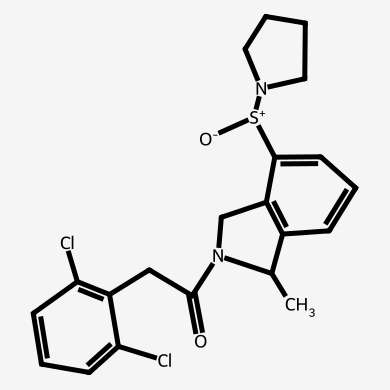 CC1c2cccc([S+]([O-])N3CCCC3)c2CN1C(=O)Cc1c(Cl)cccc1Cl